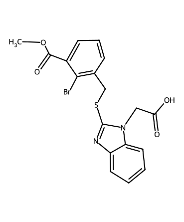 COC(=O)c1cccc(CSc2nc3ccccc3n2CC(=O)O)c1Br